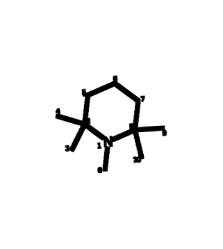 CN1C(C)(C)[CH]CCC1(C)C